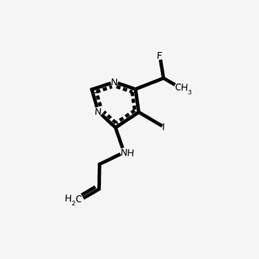 C=CCNc1ncnc(C(C)F)c1I